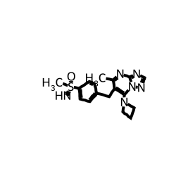 Cc1nc2ncnn2c(N2CCC2)c1Cc1ccc(S(C)(=N)=O)cc1